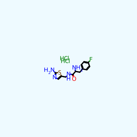 Cl.Cl.Nc1ncc(CNC(=O)C(N)Cc2ccc(F)cc2)s1